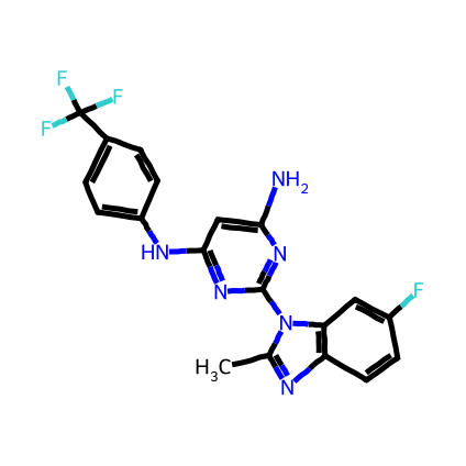 Cc1nc2ccc(F)cc2n1-c1nc(N)cc(Nc2ccc(C(F)(F)F)cc2)n1